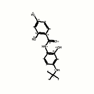 CC(C)(C)Nc1ccc(NC(=O)c2ccc(O)cc2O)c(O)c1